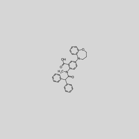 CN(C(=O)C(c1ccccc1)c1ccccc1)c1ccc(N2CCCOc3ccccc32)cc1C(=O)O